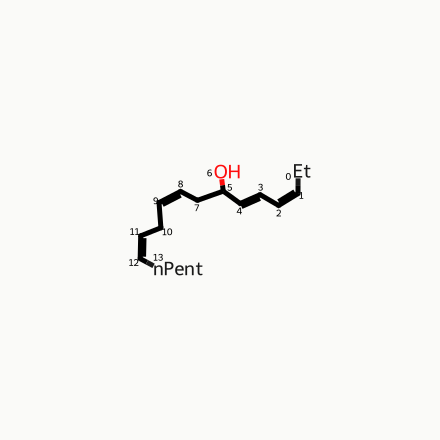 CC/C=C\C=C\C(O)C/C=C\C/C=C\CCCCC